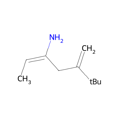 C=C(C/C(N)=C\C)C(C)(C)C